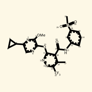 COc1nc(C2CC2)cnc1Oc1nnc(C(F)(F)F)c(C)c1C(=O)Nc1cccc(S(C)(=O)=O)c1